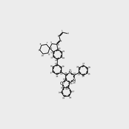 C/C=C\C=C1/CC2(CCCCC2)c2cc(-c3cccc(-c4nc(-c5ccccc5)nc5c4oc4ccccc45)c3)ccc21